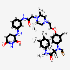 CC(C)c1cc(N(C=S)C(C)(C)C(=O)N(C)c2ccc(C#N)c(C(F)(F)F)c2)ccc1OCCN1CC(C)N(CC(=O)Nc2cccc(NC3CCC(=O)NC3=O)c2)[C@@H](C)C1